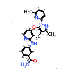 Cc1cccc(-n2nc(C)c(C)c2Oc2ccnc(Nc3cccc(C(N)=O)c3)c2)n1